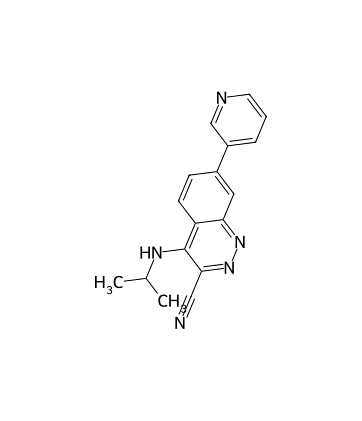 CC(C)Nc1c(C#N)nnc2cc(-c3cccnc3)ccc12